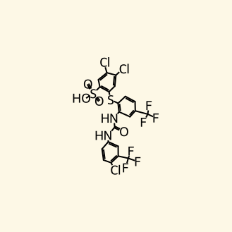 O=C(Nc1ccc(Cl)c(C(F)(F)F)c1)Nc1cc(C(F)(F)F)ccc1Sc1cc(Cl)c(Cl)cc1S(=O)(=O)O